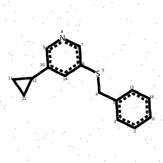 c1ccc(CSc2cncc(C3CC3)c2)cc1